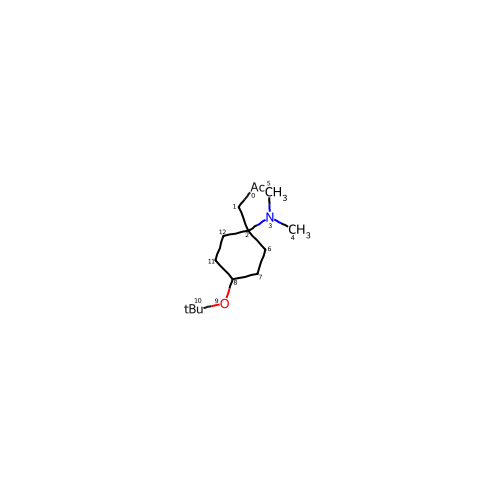 CC(=O)CC1(N(C)C)CCC(OC(C)(C)C)CC1